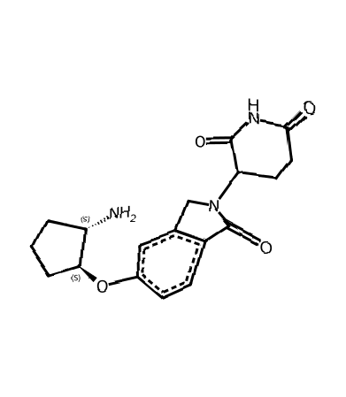 N[C@H]1CCC[C@@H]1Oc1ccc2c(c1)CN(C1CCC(=O)NC1=O)C2=O